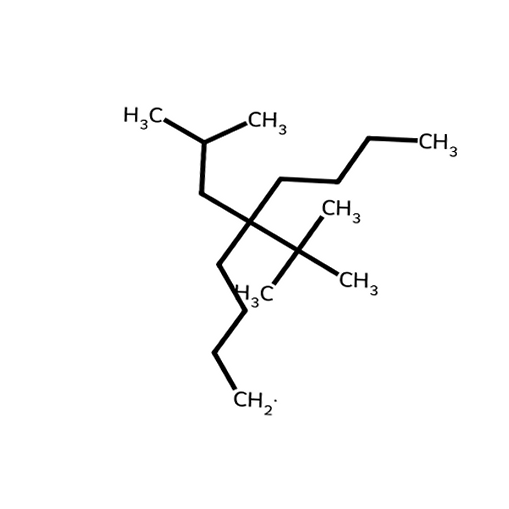 [CH2]CCCC(CCCC)(CC(C)C)C(C)(C)C